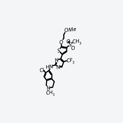 COCCOc1sc(-c2nc(Nc3cc4c(cc3Cl)CN(C)CC4)ncc2C(F)(F)F)cc1S(C)(=O)=O